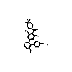 CCc1ncnc(-c2cc(Cl)c(C(=O)N3CCC(C)(O)CC3)c(Cl)c2)c1-c1ccc(N)nc1